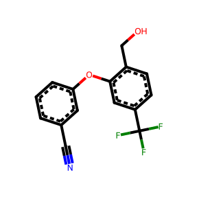 N#Cc1cccc(Oc2cc(C(F)(F)F)ccc2CO)c1